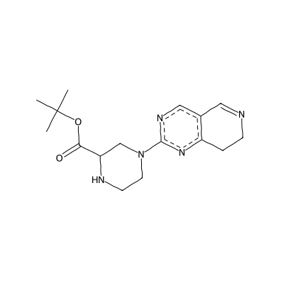 CC(C)(C)OC(=O)C1CN(c2ncc3c(n2)CCN=C3)CCN1